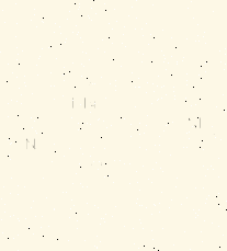 Br.C[N+](C)(C)CCOc1ccc(N)cc1.[Br-]